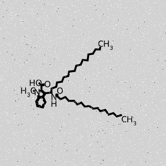 CCCCCCCCCCCCCCCCCC(=O)NC(CCCCCCCCCCCCCCCCC)c1c(C(=O)O)n(C)c2ccccc12